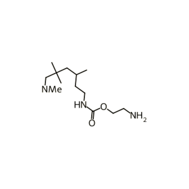 CNCC(C)(C)CC(C)CCNC(=O)OCCN